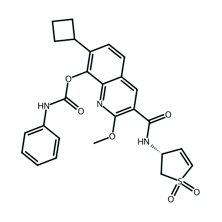 COc1nc2c(OC(=O)Nc3ccccc3)c(C3CCC3)ccc2cc1C(=O)N[C@@H]1C=CS(=O)(=O)C1